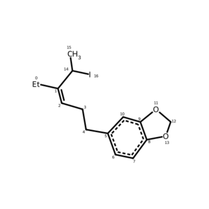 CCC(=CCCc1ccc2c(c1)OCO2)C(C)I